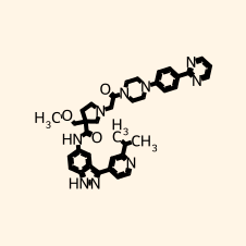 COCC1(C(=O)Nc2ccc3[nH]nc(-c4ccnc(C(C)C)c4)c3c2)CCN(CC(=O)N2CCN(c3ccc(-c4ncccn4)cc3)CC2)C1